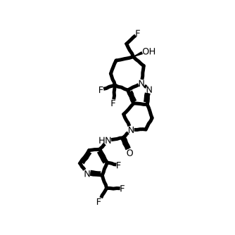 O=C(Nc1ccnc(C(F)F)c1F)N1CCc2nn3c(c2C1)C(F)(F)CC[C@](O)(CF)C3